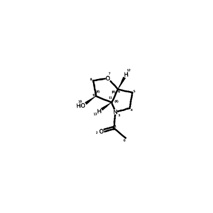 CC(=O)N1CC[C@H]2OC[C@H](O)[C@H]21